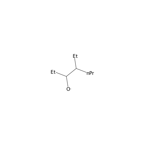 CCCC(CC)C([O])CC